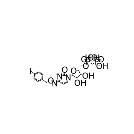 Cn1c(=O)n([C@@H]2O[C@H](COP(=O)(O)CP(=O)(O)O)C(O)C2O)cc/c1=N/OCc1ccc(I)cc1